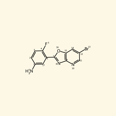 Nc1ccc(F)c(-c2nc3ncc(Br)cc3o2)c1